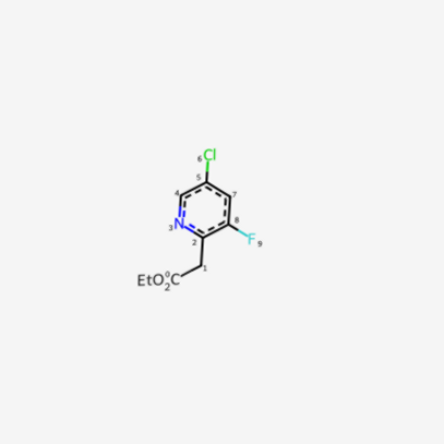 CCOC(=O)Cc1ncc(Cl)cc1F